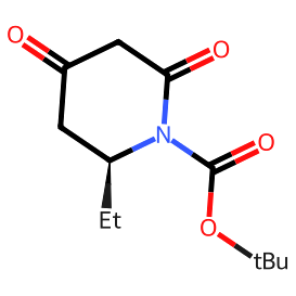 CC[C@H]1CC(=O)CC(=O)N1C(=O)OC(C)(C)C